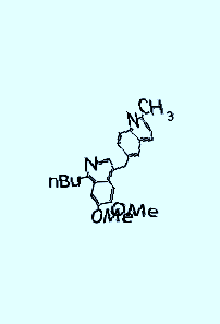 CCCCc1ncc(Cc2ccc3nc(C)ccc3c2)c2cc(OC)c(OC)cc12